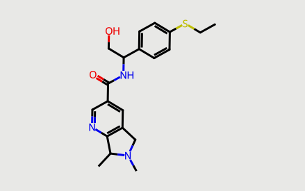 CCSc1ccc(C(CO)NC(=O)c2cnc3c(c2)CN(C)C3C)cc1